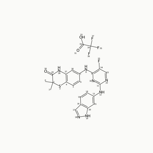 CC1(C)Sc2ccc(Nc3nc(Nc4ccc5cn[nH]c5c4)ncc3F)cc2NC1=O.O=C(O)C(F)(F)F